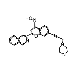 CN1CCN(CC#Cc2ccc3c(=NO)cc(-c4cc5ccccc5cn4)oc3c2)CC1